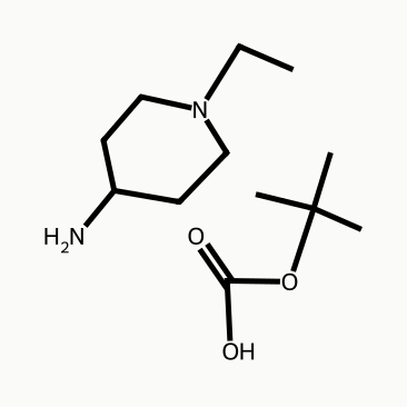 CC(C)(C)OC(=O)O.CCN1CCC(N)CC1